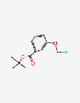 CC(C)(C)OC(=O)c1cccc(OCF)c1